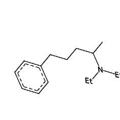 CCN(CC)C(C)CCCc1ccccc1